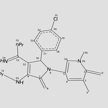 C=C1C(C)=CC(N2C(=C)C(NCCC)=C(C(=N)CCC)C2c2ccc(Cl)cc2)=CN1C